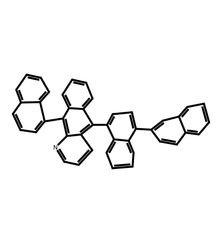 c1ccc2cc(-c3ccc(-c4c5ccccc5c(-c5cccc6ccccc56)c5ncccc45)c4ccccc34)ccc2c1